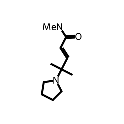 CNC(=O)C=CC(C)(C)N1CCCC1